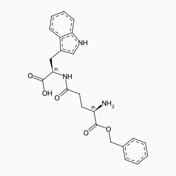 N[C@H](CCC(=O)N[C@H](Cc1c[nH]c2ccccc12)C(=O)O)C(=O)OCc1ccccc1